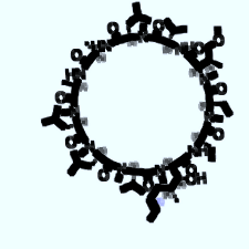 C/C=C/C[C@@H](C)[C@@H](O)[C@H]1C(=O)N[C@@H](CC)C(=O)N(C)[C@H](CC)C(=O)N(C)[C@@H]([C@H](C)COC)C(=O)N[C@@H](C(C)C)C(=O)N(C)[C@@H](CC(C)C)C(=O)N[C@@H](C)C(=O)N[C@H](C)C(=O)N(C)[C@@H](CC(C)C)C(=O)N(C)[C@@H](CC(C)C)C(=O)N(C)[C@@H](C(C)C)C(=O)N1C